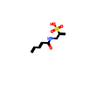 C=CC=CC(=O)NCC(=C)S(=O)(=O)O